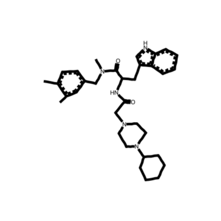 Cc1ccc(CN(C)C(=O)C(Cc2c[nH]c3ccccc23)NC(=O)CN2CCN(C3CCCCC3)CC2)cc1C